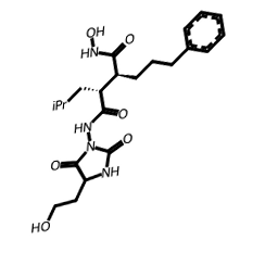 CC(C)C[C@@H](C(=O)NN1C(=O)NC(CCO)C1=O)[C@H](CCCc1ccccc1)C(=O)NO